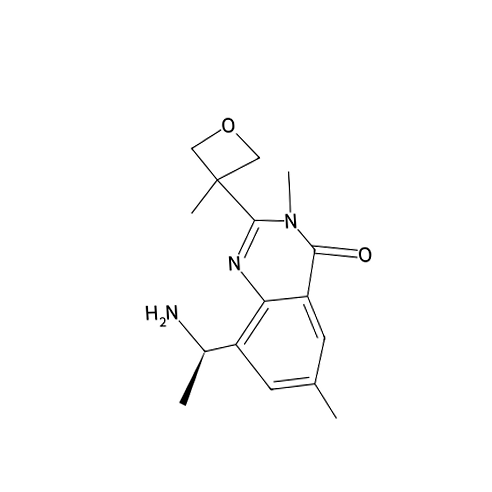 Cc1cc([C@@H](C)N)c2nc(C3(C)COC3)n(C)c(=O)c2c1